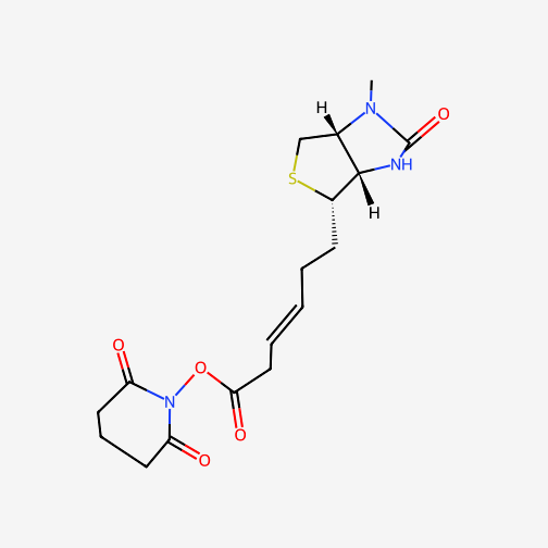 CN1C(=O)N[C@@H]2[C@H](CC/C=C/CC(=O)ON3C(=O)CCCC3=O)SC[C@@H]21